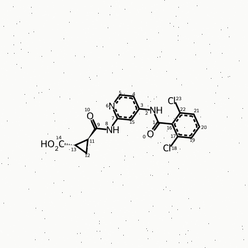 O=C(Nc1ccnc(NC(=O)[C@H]2C[C@@H]2C(=O)O)c1)c1c(Cl)cccc1Cl